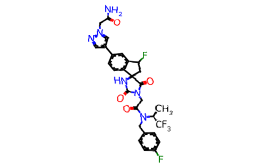 C[C@H](N(Cc1ccc(F)cc1)C(=O)CN1C(=O)NC2(CC(F)c3cc(-c4cnn(CC(N)=O)c4)ccc32)C1=O)C(F)(F)F